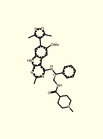 COc1cc2c(cc1-c1c(C)noc1C)[nH]c1nc(C)nc(N[C@H](CNC(=O)C3CCN(C)CC3)c3ccccc3)c12